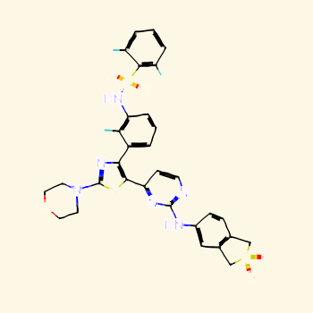 O=S1(=O)Cc2ccc(Nc3nccc(-c4sc(N5CCOCC5)nc4-c4cccc(NS(=O)(=O)c5c(F)cccc5F)c4F)n3)cc2C1